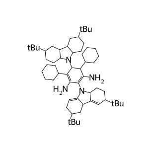 CC(C)(C)C1C=C2C3CC(C(C)(C)C)CC=C3N(C3=C(N)C(C4CCCCC4)C(N4C5CCC(C(C)(C)C)CC5C5CC(C(C)(C)C)CCC54)C(C4CCCCC4)=C3N)C2CC1